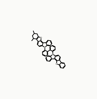 CC1Cc2oc3c(ccc4c3c3ccccc3n4-c3ccccc3-c3ccccc3-n3c4ccccc4c4c5oc6ccccc6c5ccc43)c2C(C)C1